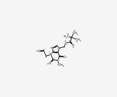 Cn1c(=O)c2c(ncn2COC(=O)C(C)(C)C)n(CC=O)c1=O